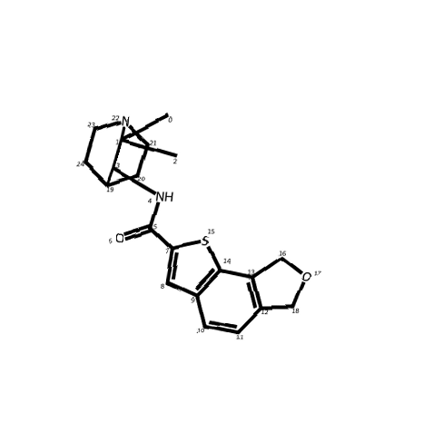 CC1(C)C(NC(=O)c2cc3ccc4c(c3s2)COC4)C2CCN1CC2